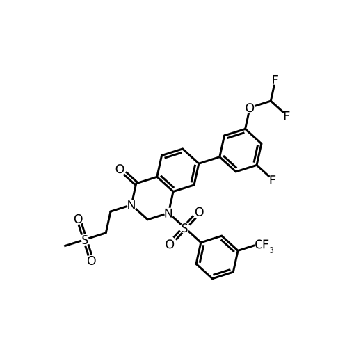 CS(=O)(=O)CCN1CN(S(=O)(=O)c2cccc(C(F)(F)F)c2)c2cc(-c3cc(F)cc(OC(F)F)c3)ccc2C1=O